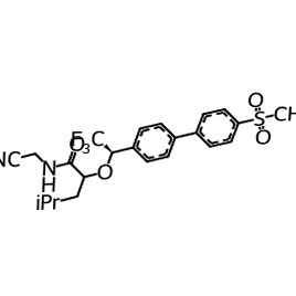 CC(C)CC(O[C@H](c1ccc(-c2ccc(S(C)(=O)=O)cc2)cc1)C(F)(F)F)C(=O)NCC#N